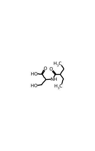 CCC(CC)C(=O)NC(CO)C(=O)O